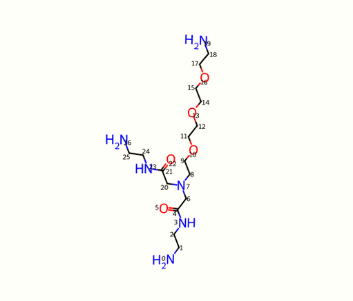 NCCNC(=O)CN(CCOCCOCCOCCN)CC(=O)NCCN